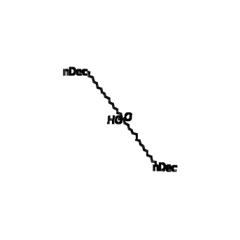 CCCCCCCCCCCCCCCCCCCCCCCCCCCC(O)C(=O)CCCCCCCCCCCCCCCCCCCCCCCCCC